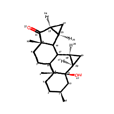 C[C@H]1CC[C@]2(C)C3CC[C@]4(C)C(=O)[C@H]5C[C@H]5C4C3[C@H]3C[C@H]3[C@]2(O)C1